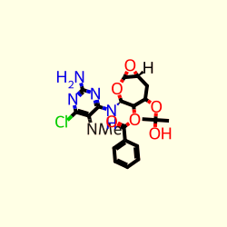 CNc1c(Cl)nc(N)nc1N[C@@H]1OC2O[C@@H]2CC(OC(C)(C)O)C1OC(=O)c1ccccc1